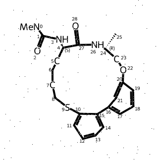 CNC(=O)N[C@H]1CCCCSc2ccccc2-c2cccc(c2)OC[C@@H](C)NC1=O